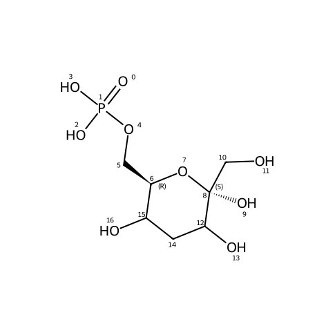 O=P(O)(O)OC[C@H]1O[C@@](O)(CO)C(O)CC1O